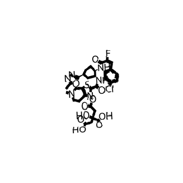 Cc1nnc([C@H]2CC[C@H](NC(=O)/C(F)=C\c3ccc(Cl)cc3)[C@H](NC(=O)C3SC4=C(CCN(C)C4)N3OC(=O)CC(O)(CC(=O)O)C(=O)O)C2)o1